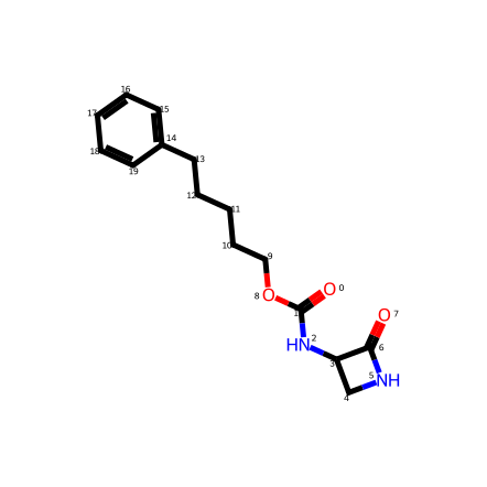 O=C(NC1CNC1=O)OCCCCCc1ccccc1